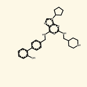 Oc1ccccc1-c1ccc(CNc2nc(NCC3CCNCC3)nc3c2ncn3C2CCCC2)cc1